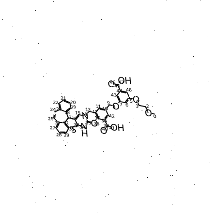 COCCOc1cc(OCc2cc(Cn3cc(C4c5ccccc5C=Cc5ccccc54)c(=S)[nH]c3=O)cc(C(=O)O)c2)cc(C(=O)O)c1